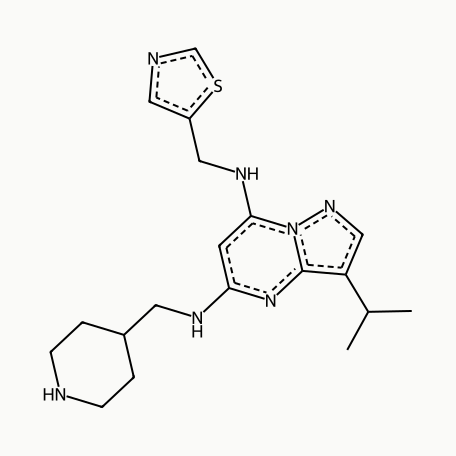 CC(C)c1cnn2c(NCc3cncs3)cc(NCC3CCNCC3)nc12